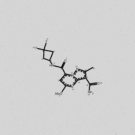 COc1cc(C(=O)NC2CC(F)(F)C2)n2nc(C)c(C(N)=O)c2n1